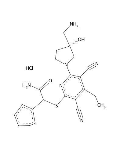 CCc1c(C#N)c(SC(C(N)=O)c2ccccc2)nc(N2CC[C@@](O)(CN)C2)c1C#N.Cl